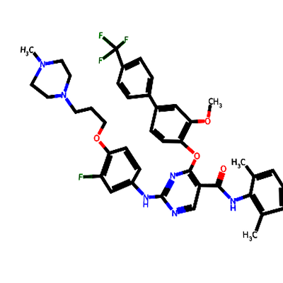 COc1cc(-c2ccc(C(F)(F)F)cc2)ccc1Oc1nc(Nc2ccc(OCCCN3CCN(C)CC3)c(F)c2)ncc1C(=O)Nc1c(C)cccc1C